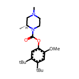 COc1cc(C(C)(C)C)c(C(C)(C)C)cc1OC(=O)N1CCN(C)C[C@H]1C